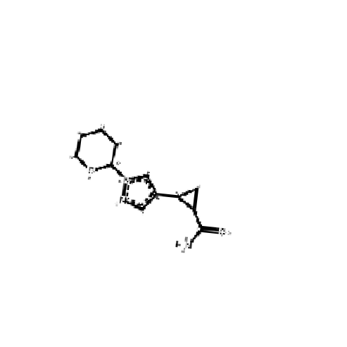 NC(=O)C1CC1c1cnn(C2CCCCO2)c1